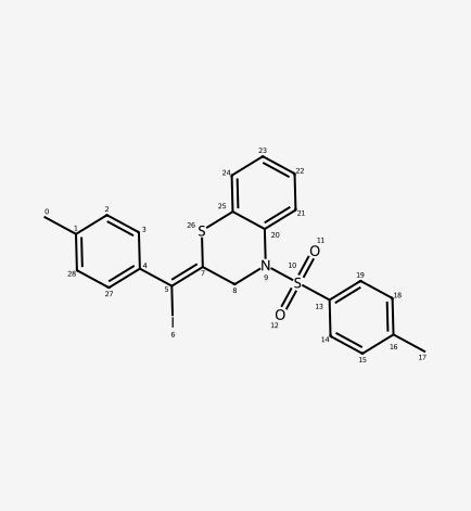 Cc1ccc(/C(I)=C2/CN(S(=O)(=O)c3ccc(C)cc3)c3ccccc3S2)cc1